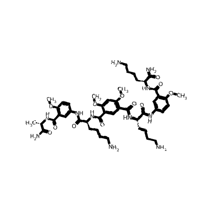 COc1ccc(NC(=O)[C@H](CCCCN)NC(=O)c2cc(C(=O)N[C@@H](CCCCN)C(=O)Nc3ccc(OC)c(C(=O)N[C@@H](CCCCN)C(N)=O)c3)c(OC)cc2OC)cc1C(=O)N[C@@H](C)C(N)=O